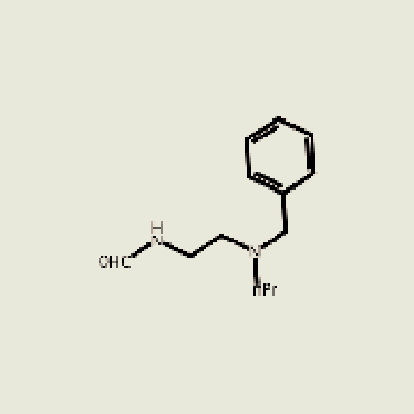 CCCN(CCNC=O)Cc1ccccc1